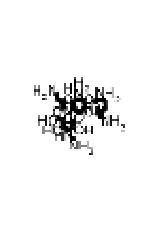 NCC[C@H](O)C(=O)N[C@@H]1C[C@H](N)C(O[C@H]2OC(CN)CCC2N)C(O)[C@H]1O[C@H]1OC(CO)[C@@H](O)[C@H](NCN)C1O